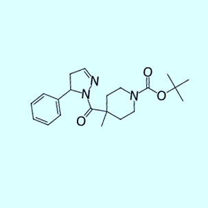 CC(C)(C)OC(=O)N1CCC(C)(C(=O)N2N=CCC2c2ccccc2)CC1